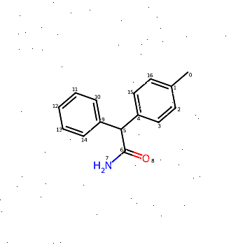 Cc1ccc(C(C(N)=O)c2ccccc2)cc1